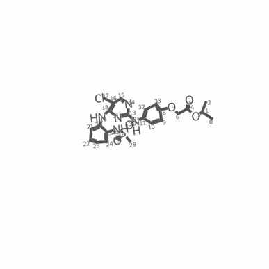 CC(C)OC(=O)COc1ccc(Nc2ncc(Cl)c(Nc3ccccc3NS(C)(=O)=O)n2)cc1